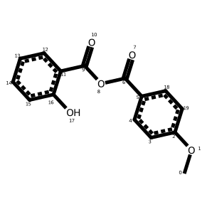 COc1ccc(C(=O)OC(=O)c2ccccc2O)cc1